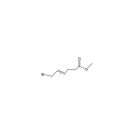 COC(=O)CC/C=C/CBr